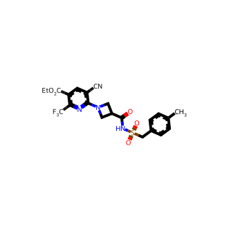 CCOC(=O)c1cc(C#N)c(N2CC(C(=O)NS(=O)(=O)Cc3ccc(C)cc3)C2)nc1C(F)(F)F